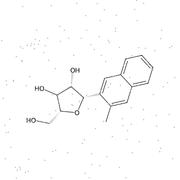 Cc1cc2ccccc2cc1[C@@H]1O[C@H](CO)C(O)[C@@H]1O